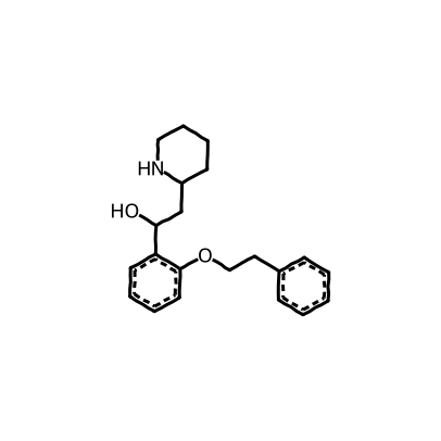 OC(CC1CCCCN1)c1ccccc1OCCc1ccccc1